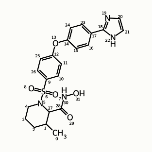 CC1CCCN(S(=O)(=O)c2ccc(Oc3ccc(-c4ncc[nH]4)cc3)cc2)C1C(=O)NO